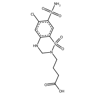 NS(=O)(=O)c1cc2c(cc1Cl)NCN(CCCC(=O)O)S2(=O)=O